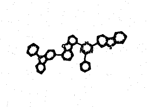 c1ccc(-c2nc(-c3ccc4c(c3)sc3ccccc34)nc(-c3cccc4oc5c(-c6ccc7c(c6)c6ccccc6n7-c6ccccc6)cccc5c34)n2)cc1